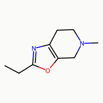 CCc1nc2c(o1)CN(C)CC2